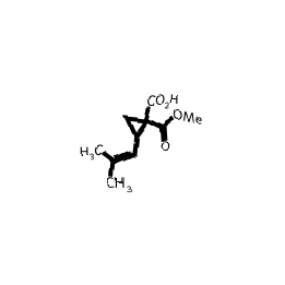 COC(=O)C1(C(=O)O)CC1C=C(C)C